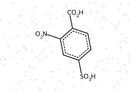 O=C(O)c1ccc(S(=O)(=O)O)cc1[N+](=O)[O-]